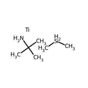 CC(C)(C)N.C[SiH2]C.[Ti]